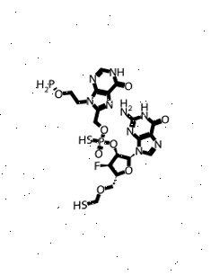 Nc1nc2c(ncn2[C@@H]2O[C@H](COCS)[C@@H](F)[C@H]2OP(=O)(S)OCc2nc3c(=O)[nH]cnc3n2CCOP)c(=O)[nH]1